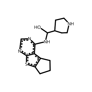 OC(Nc1ncnc2sc3c(c12)CCC3)C1CCNCC1